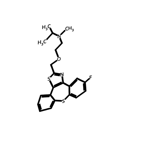 CC(C)N(C)CCOCc1nc2c(s1)-c1ccccc1Sc1ccc(F)cc1-2